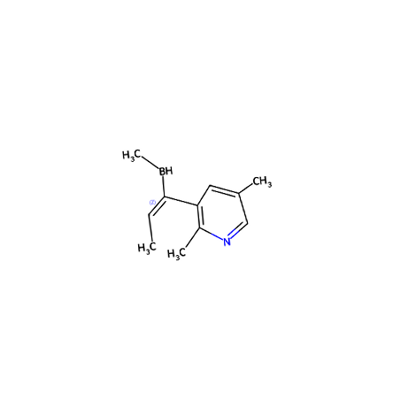 CB/C(=C/C)c1cc(C)cnc1C